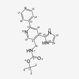 CC(C)(C)OC(=O)NCc1cnc(-c2ccccc2)cc1-c1ncc[nH]1